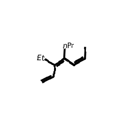 C=C/C(CC)=C(\C=C/C)CCC